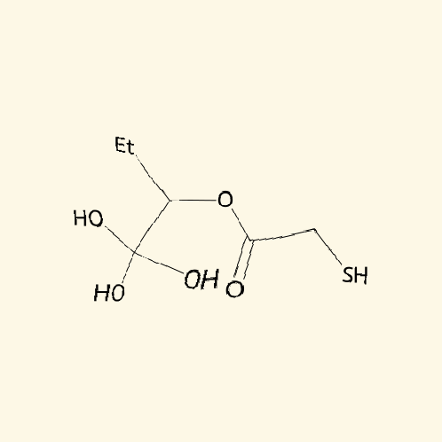 CCC(OC(=O)CS)C(O)(O)O